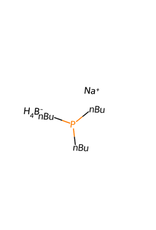 CCCCP(CCCC)CCCC.[BH4-].[Na+]